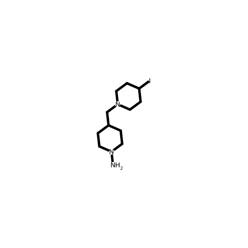 NN1CCC(CN2CCC(I)CC2)CC1